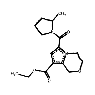 CCOC(=O)c1cc(C(=O)N2CCCC2C)n2c1COCC2